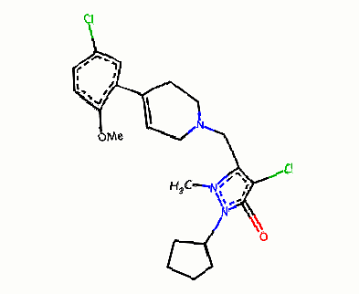 COc1ccc(Cl)cc1C1=CCN(Cc2c(Cl)c(=O)n(C3CCCC3)n2C)CC1